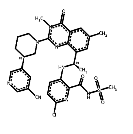 Cc1cc([C@@H](C)Nc2ccc(Cl)nc2C(=O)NS(C)(=O)=O)c2nc(N3CCC[C@H](c4cncc(C#N)c4)C3)n(C)c(=O)c2c1